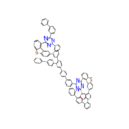 c1ccc(-c2ccc(-c3ccccc3-c3ccc(-c4ccc5sc6cccc(-c7nc(-c8ccccc8)nc(-c8cccc(-c9ccc(-c%10ccc(-c%11cccc(-c%12ccc%13sc%14cccc(-c%15nc(-c%16ccccc%16)nc(-c%16cccc(-c%17ccccc%17)c%16)n%15)c%14c%13c%12)c%11)c(-c%11ccc(-c%12ccccc%12)cc%11)c%10)cc9)c8)n7)c6c5c4)cc3)cc2)cc1